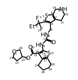 CCC(F)(F)c1sc2c(c1CNC(=O)Nc1sc3c(c1C(=O)OC1CCOC1)CCCC3)CCNC2